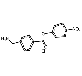 Cl.NCc1ccc(C(=O)Oc2ccc([N+](=O)[O-])cc2)cc1